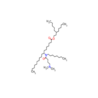 CCCCCCCCCCC(CCCCCCC(=O)OCCC(CCCCC)CCCCC)N(CCCCCCCC)C(=O)CCCN(C)C